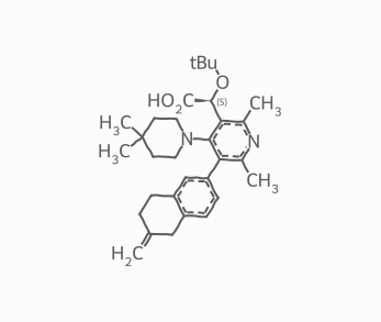 C=C1CCc2cc(-c3c(C)nc(C)c([C@H](OC(C)(C)C)C(=O)O)c3N3CCC(C)(C)CC3)ccc2C1